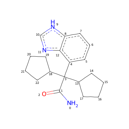 NC(=O)C(c1cccc2[nH][c]nc12)(C1CCCC1)C1CCCC1